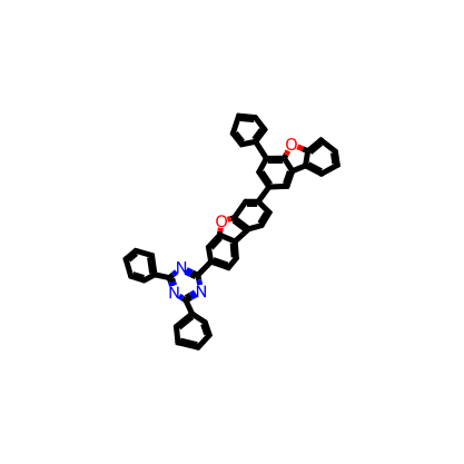 c1ccc(-c2nc(-c3ccccc3)nc(-c3ccc4c(c3)oc3cc(-c5cc(-c6ccccc6)c6oc7ccccc7c6c5)ccc34)n2)cc1